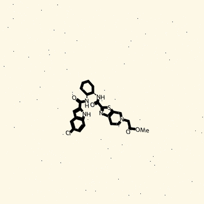 COC(=O)CN1CCc2nc(C(=O)N[C@H]3CCCC[C@H]3NC(=O)c3cc4cc(Cl)ccc4[nH]3)sc2C1